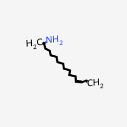 C=C/C=C\CCCCCCCCCCC(=C)N